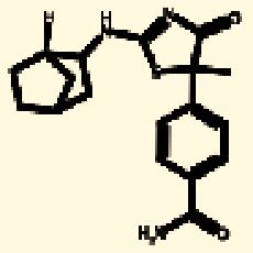 CC1(c2ccc(C(N)=O)cc2)SC(NC2CC3CC[C@H]2C3)=NC1=O